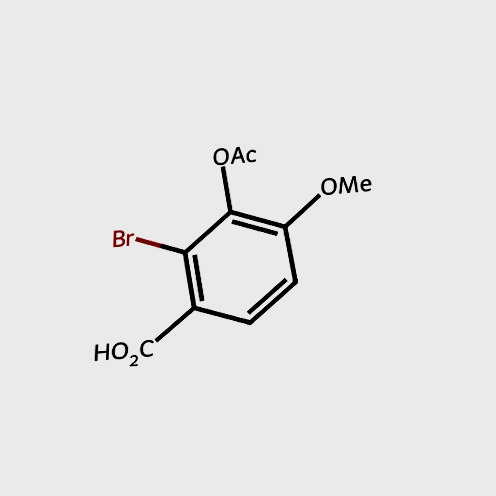 COc1ccc(C(=O)O)c(Br)c1OC(C)=O